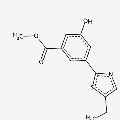 CCc1cnc(-c2cc(O)cc(C(=O)OC)c2)s1